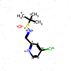 CC(C)(C)[S@@+]([O-])N=Cc1cc(Cl)ccn1